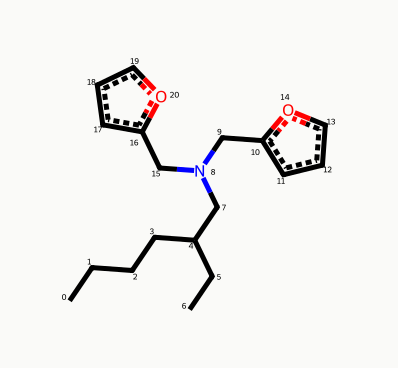 CCCCC(CC)CN(Cc1ccco1)Cc1ccco1